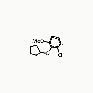 COc1cc[c]c(Cl)c1OC1CCCC1